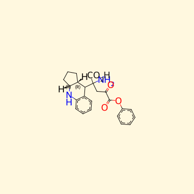 NC(CC(=O)C(=O)Oc1ccccc1)(C(=O)O)C1c2ccccc2N[C@@H]2CCC[C@H]12